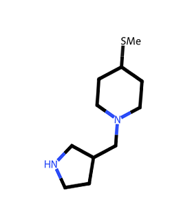 CSC1CCN(CC2CCNC2)CC1